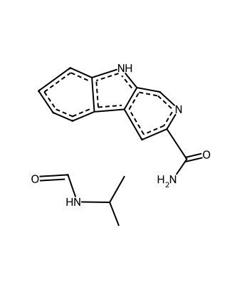 CC(C)NC=O.NC(=O)c1cc2c(cn1)[nH]c1ccccc12